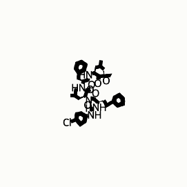 CC(C)C[C@H](NC(=O)[C@H](CCc1ccccc1)NC(=O)Nc1ccc(Cl)cc1)C(=O)N[C@@H](Cc1ccccc1)C(=O)N[C@@H](CC(C)C)C(=O)[C@@]1(C)CO1